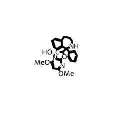 COc1cc(OC)nc(OC(C(=O)O)C2(c3ccccc3)NCCCc3ccccc32)n1